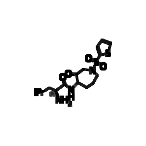 CC(C)C[C@H](N)C(=O)NC1CCCN(S(=O)(=O)c2cccs2)CC1=O